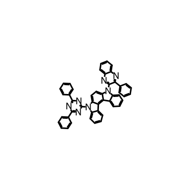 c1ccc(-c2nc(-c3ccccc3)nc(-n3c4ccccc4c4c5c6ccccc6n(-c6nc7ccccc7nc6-c6ccccc6)c5ccc43)n2)cc1